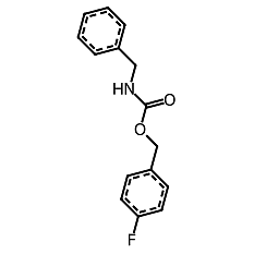 O=C(NCc1ccccc1)OCc1ccc(F)cc1